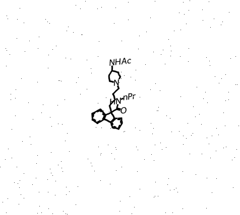 CCCNC(=O)C1(CCCCN2CCC(NC(C)=O)CC2)c2ccccc2-c2ccccc21